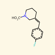 O=C(O)N1CCCC(=Cc2ccc(F)cc2)C1